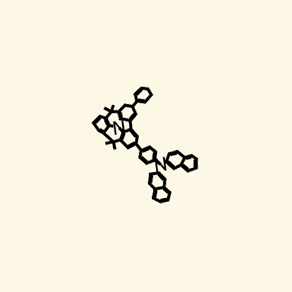 CC1(C)C2=c3c(c4cc(-c5ccc(N(c6ccc7ccccc7c6)c6ccc7ccccc7c6)cc5)cc5c4n3-c3c1cccc3C5(C)C)=CC(C1=CCCC=C1)C2